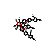 N#Cc1ccc(-c2ccc3c4ccc(-c5ccc(C#N)cc5C#N)cc4n(-c4cc(C#N)cc(-n5c6cc(-c7ccc(C#N)cc7C#N)ccc6c6ccc(-c7ccc(C#N)cc7C#N)cc65)c4-c4c(C#N)cccc4C(F)(F)F)c3c2)c(C#N)c1